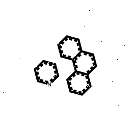 [c]1cccc2c1ccc1ccccc12.c1ccncc1